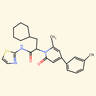 Cc1cc(-c2cccc(C#N)c2)cc(=O)n1C(CC1CCCCC1)C(=O)Nc1nccs1